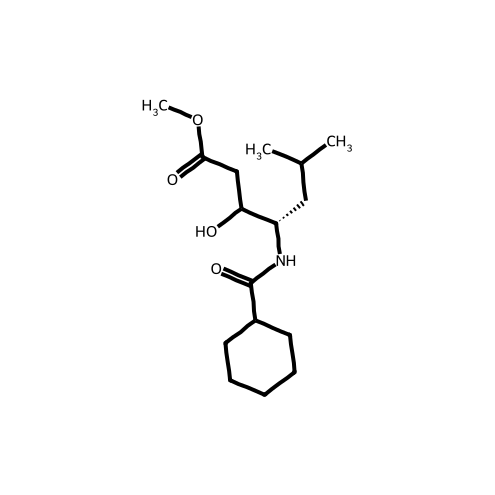 COC(=O)CC(O)[C@H](CC(C)C)NC(=O)C1CCCCC1